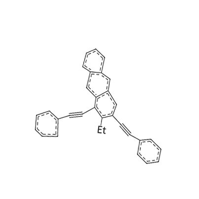 CCc1c(C#Cc2ccccc2)cc2cc3ccccc3cc2c1C#Cc1ccccc1